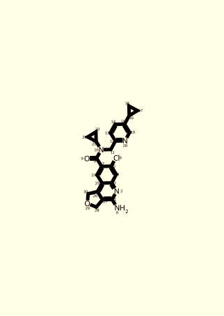 Nc1nc2cc(Cl)c(C(=O)N(Cc3ccc(C4CC4)cn3)C3CC3)cc2c2c1COC2